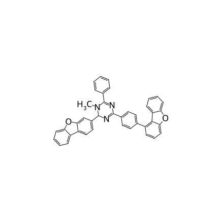 CN1C(c2ccccc2)=NC(c2ccc(-c3cccc4oc5ccccc5c34)cc2)=NC1c1ccc2c(c1)oc1ccccc12